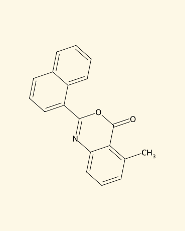 Cc1cccc2nc(-c3cccc4ccccc34)oc(=O)c12